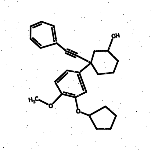 COc1ccc(C2(C#Cc3ccccc3)CCCC(O)C2)cc1OC1CCCC1